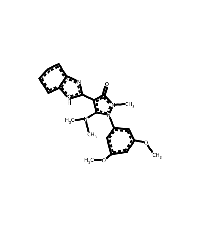 COc1cc(OC)cc(-n2c(N(C)C)c(-c3nc4ccccc4[nH]3)c(=O)n2C)c1